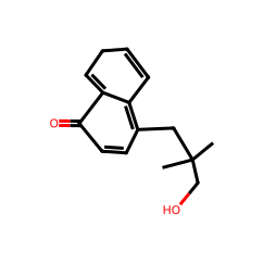 CC(C)(CO)CC1=C2C=CCC=C2C(=O)C=C1